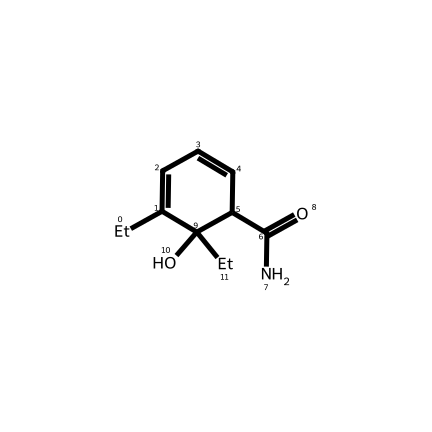 CCC1=CC=CC(C(N)=O)C1(O)CC